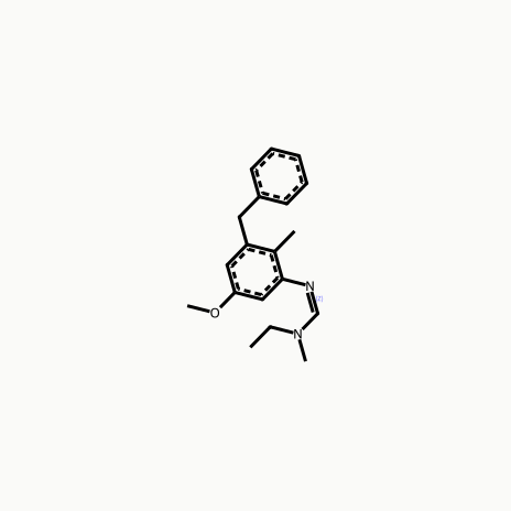 CCN(C)/C=N\c1cc(OC)cc(Cc2ccccc2)c1C